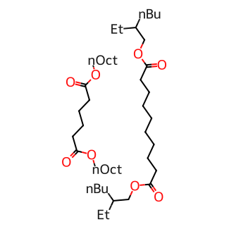 CCCCC(CC)COC(=O)CCCCCCCCC(=O)OCC(CC)CCCC.CCCCCCCCOC(=O)CCCCC(=O)OCCCCCCCC